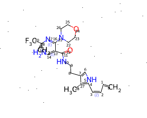 C=C/C=C\c1[nH]cc(CCNC(=O)C(=C/N)/C(=N\C(=C)C(F)(F)F)N2CCOCC2)c1C